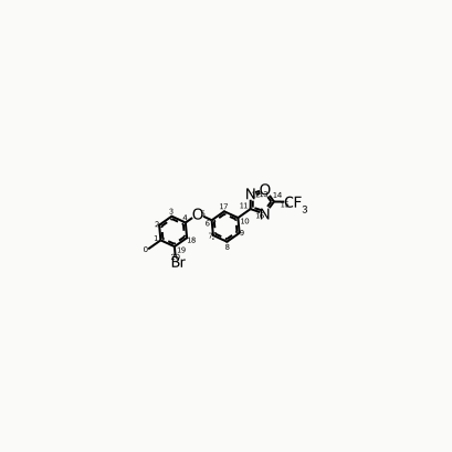 Cc1ccc(Oc2[c]ccc(-c3noc(C(F)(F)F)n3)c2)cc1Br